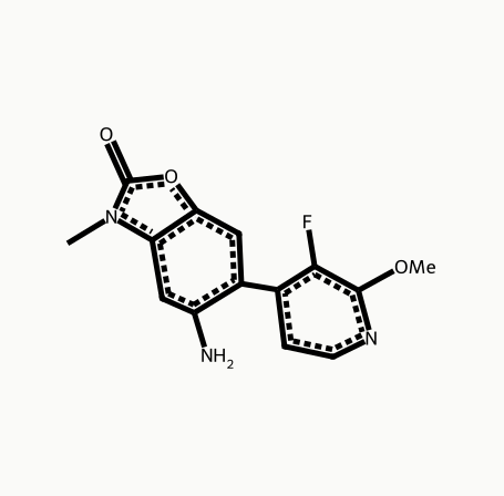 COc1nccc(-c2cc3oc(=O)n(C)c3cc2N)c1F